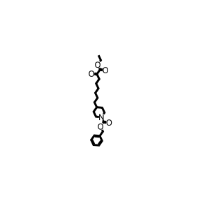 CCOC(=O)C(=O)CCCCCCC1CCN(C(=O)OCc2ccccc2)CC1